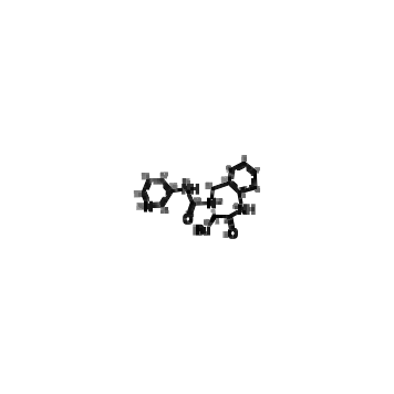 CC[C@H](C)[C@H]1C(=O)Nc2ccccc2CN1C(=O)Nc1cccnc1